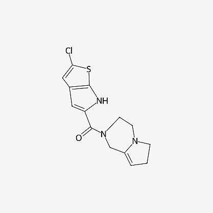 O=C(c1cc2cc(Cl)sc2[nH]1)N1CCN2CCC=C2C1